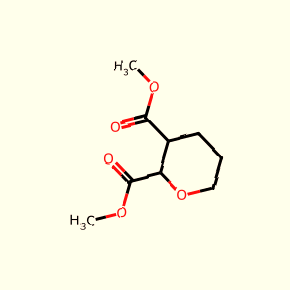 COC(=O)C1CCCOC1C(=O)OC